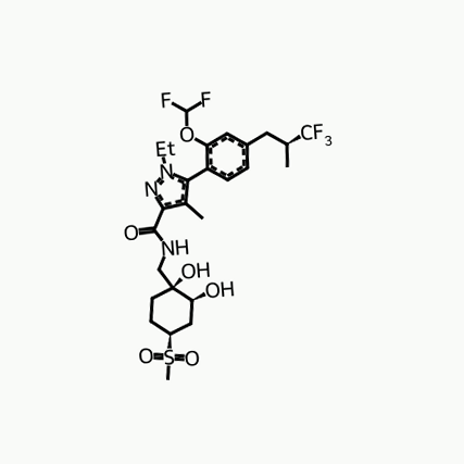 CCn1nc(C(=O)NC[C@@]2(O)CC[C@H](S(C)(=O)=O)C[C@@H]2O)c(C)c1-c1ccc(C[C@H](C)C(F)(F)F)cc1OC(F)F